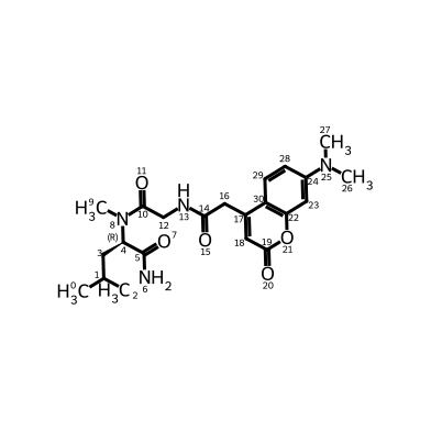 CC(C)C[C@H](C(N)=O)N(C)C(=O)CNC(=O)Cc1cc(=O)oc2cc(N(C)C)ccc12